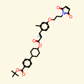 Cc1cc(OCCCN2C(=O)C=CC2=O)ccc1/C=C/C(=O)OC1CCC(c2ccc(C(=O)OC(C)(C)C)cc2)CC1